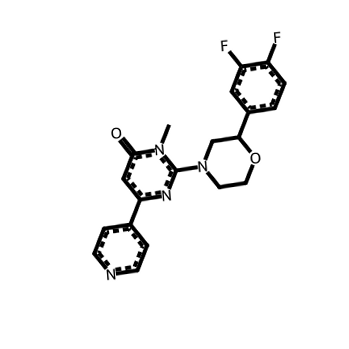 Cn1c(N2CCOC(c3ccc(F)c(F)c3)C2)nc(-c2ccncc2)cc1=O